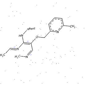 C/C=N/C(NCCCCC)=C(\C=N/C)OCc1cccc(C)n1